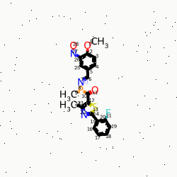 COc1ccc(/C=N/P(C)C(=O)c2sc(-c3ccccc3F)nc2C)cc1N=O